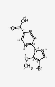 COc1c(Br)cnn1-c1ccc(C(=O)O)cn1